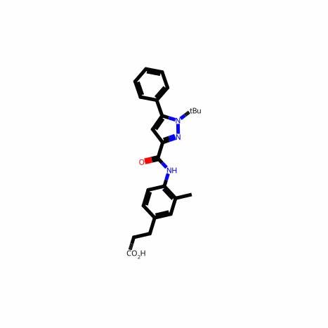 Cc1cc(CCC(=O)O)ccc1NC(=O)c1cc(-c2ccccc2)n(C(C)(C)C)n1